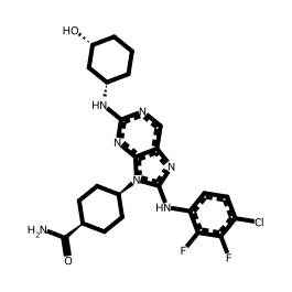 NC(=O)[C@H]1CC[C@@H](n2c(Nc3ccc(Cl)c(F)c3F)nc3cnc(N[C@H]4CCC[C@@H](O)C4)nc32)CC1